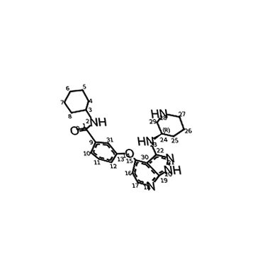 O=C(NC1CCCCC1)c1cccc(Oc2ccnc3[nH]nc(N[C@@H]4CCCNC4)c23)c1